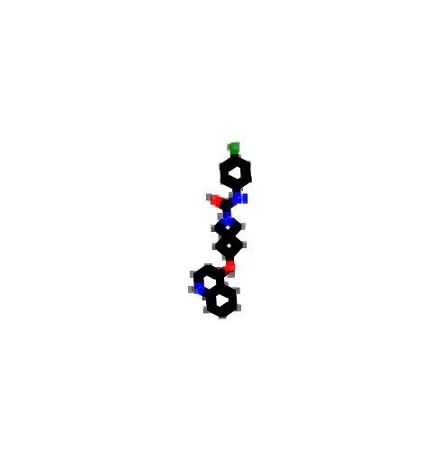 O=C(Nc1ccc(Cl)cc1)N1CC2(CC(Oc3ccnc4ccccc34)C2)C1